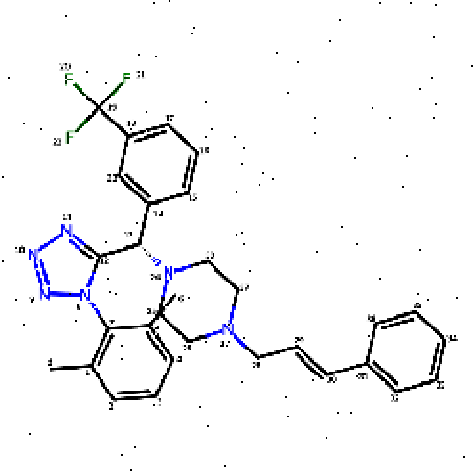 Cc1cccc(C)c1-n1nnnc1[C@H](c1cccc(C(F)(F)F)c1)N1CCN(C/C=C/c2ccccc2)CC1